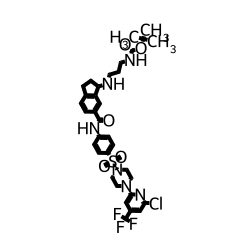 CC(C)(C)OC(=O)NCCCNC1CCc2ccc(C(=O)Nc3ccc(S(=O)(=O)N4CCN(c5cc(C(F)(F)F)cc(Cl)n5)CC4)cc3)cc21